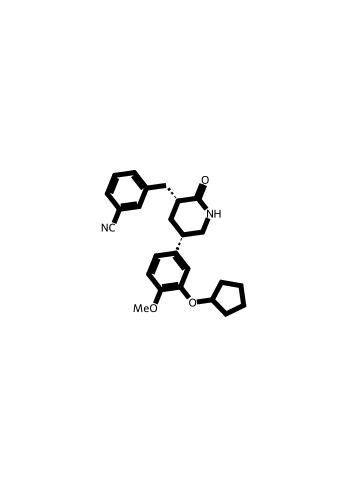 COc1ccc([C@H]2CNC(=O)[C@@H](Cc3cccc(C#N)c3)C2)cc1OC1CCCC1